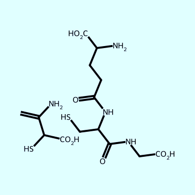 C=C(N)C(S)C(=O)O.NC(CCC(=O)NC(CS)C(=O)NCC(=O)O)C(=O)O